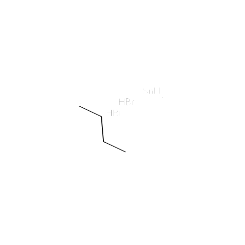 Br.Br.CCCC.[SnH2]